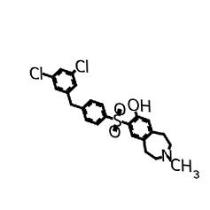 CN1CCc2cc(O)c(S(=O)(=O)c3ccc(Cc4cc(Cl)cc(Cl)c4)cc3)cc2CC1